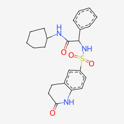 O=C1CCc2cc(S(=O)(=O)NC(C(=O)NC3CCCCC3)c3ccccc3)ccc2N1